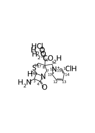 Cl.Cl.NC1C(=O)N2CC(C[n+]3ccccc3)(C(=O)O)CS[C@H]12.O.O